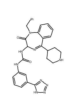 CC(C)CN1C(=O)C(NC(=O)Nc2cccc(-c3nnn[nH]3)c2)N=C(C2CCNCC2)c2ccccc21